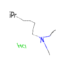 CC(C)CCN(C)C.Cl